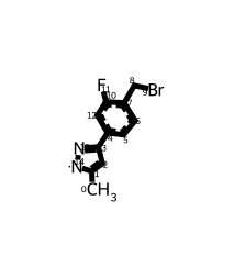 CC1=CC(c2ccc(CBr)c(F)c2)=N[N]1